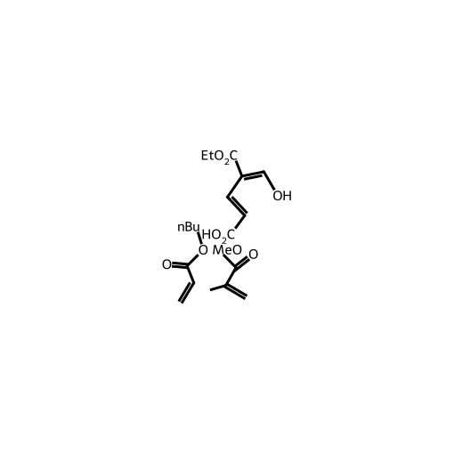 C=C(C)C(=O)OC.C=CC(=O)OCCCC.CCOC(=O)C(C=CC(=O)O)=CO